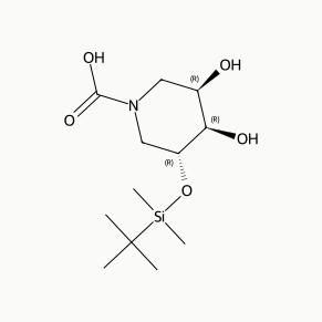 CC(C)(C)[Si](C)(C)O[C@@H]1CN(C(=O)O)C[C@@H](O)[C@H]1O